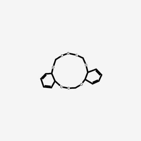 C1=CC2OCCOCCOC3C=CC=CC3OCCOC2C=C1